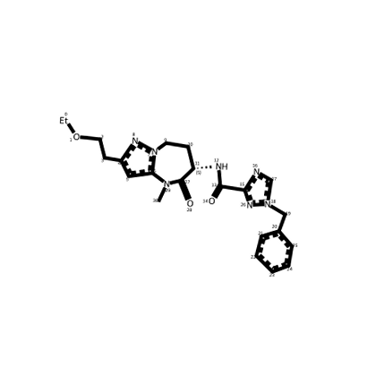 CCOCCc1cc2n(n1)CC[C@H](NC(=O)c1ncn(Cc3ccccc3)n1)C(=O)N2C